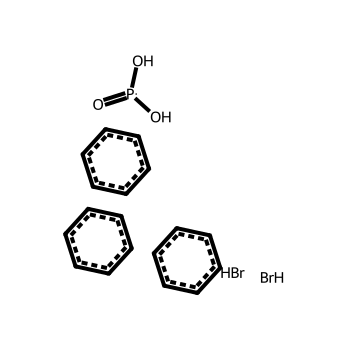 Br.Br.O=[P](O)O.c1ccccc1.c1ccccc1.c1ccccc1